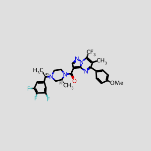 COc1ccc(-c2nc3c(C(=O)N4CCN([C@H](C)c5cc(F)c(F)c(F)c5)C[C@H]4C)cnn3c(C(F)(F)F)c2C)cc1